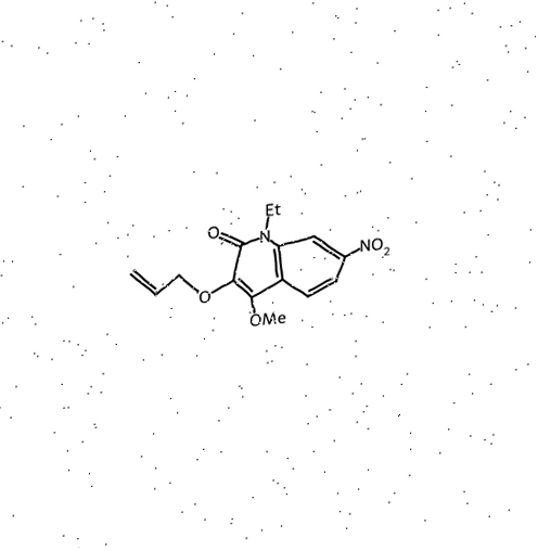 C=CCOc1c(OC)c2ccc([N+](=O)[O-])cc2n(CC)c1=O